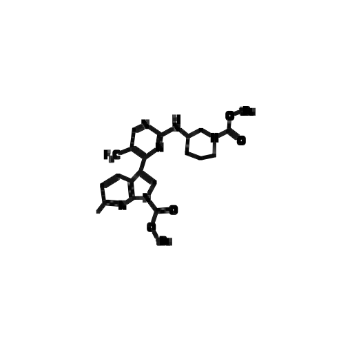 Cc1ccc2c(-c3nc(NC4CCCN(C(=O)OC(C)(C)C)C4)ncc3C(F)(F)F)cn(C(=O)OC(C)(C)C)c2n1